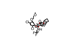 COCCOc1cc(OC(C)(C)C(=O)NC2CC3CCC(C2)N3c2ccc(C(=O)NCC(F)(F)F)cn2)c(Cl)cc1Cl